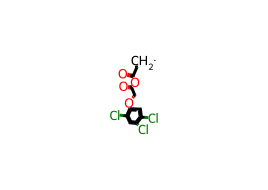 [CH2]CC(=O)OC(=O)COc1cc(Cl)c(Cl)cc1Cl